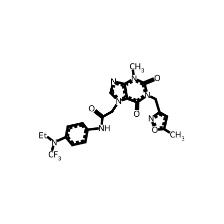 CCN(c1ccc(NC(=O)Cn2cnc3c2c(=O)n(Cc2cc(C)on2)c(=O)n3C)cc1)C(F)(F)F